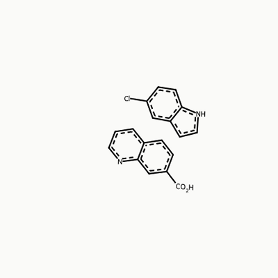 Clc1ccc2[nH]ccc2c1.O=C(O)c1ccc2cccnc2c1